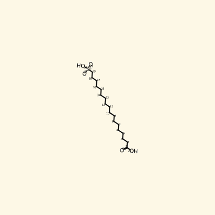 O=C(O)CCCCCCCCCCCCCCCCCS(=O)(=O)O